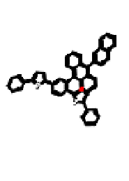 c1ccc(-c2ccc(-c3ccc(-c4ccc(-c5ccccc5)s4)c(-c4c5ccccc5c(-c5ccc6ccccc6c5)c5ccccc45)c3)s2)cc1